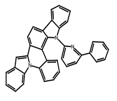 c1ccc(-c2cccc(-n3c4ccccc4c4ccc5c(c6ccccc6n6c7ccccc7cc56)c43)n2)cc1